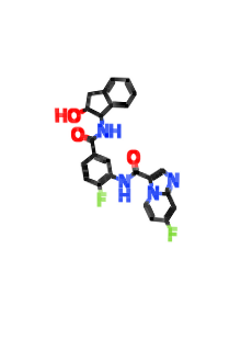 O=C(N[C@@H]1c2ccccc2C[C@@H]1O)c1ccc(F)c(NC(=O)c2cnc3cc(F)ccn23)c1